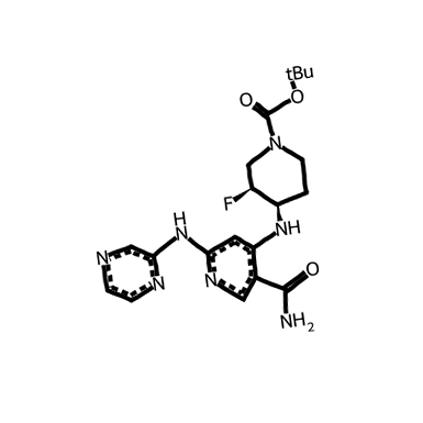 CC(C)(C)OC(=O)N1CC[C@@H](Nc2cc(Nc3cnccn3)ncc2C(N)=O)[C@@H](F)C1